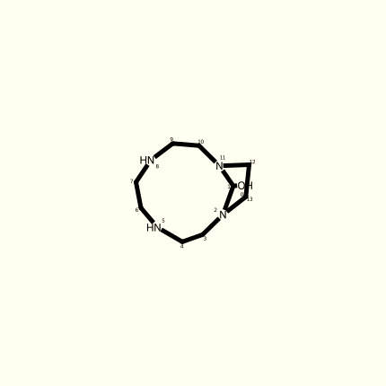 OC1N2CCNCCNCCN1CC2